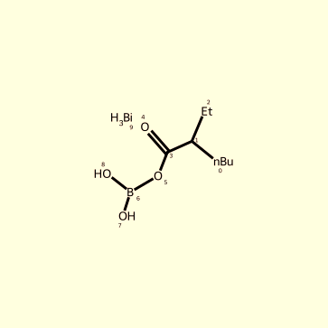 CCCCC(CC)C(=O)OB(O)O.[BiH3]